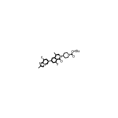 Cc1cn2cc(-c3cc(F)c4c(=O)n(C5CCN(C(=O)OC(C)(C)C)CC5)cc(C)c4c3)cc(F)c2n1